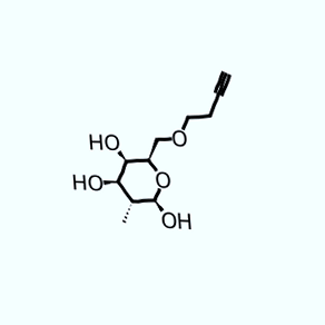 C#CCCOC[C@H]1O[C@@H](O)[C@H](C)[C@@H](O)[C@H]1O